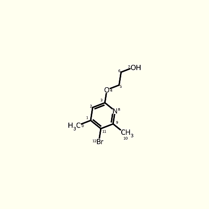 Cc1cc(OCCO)nc(C)c1Br